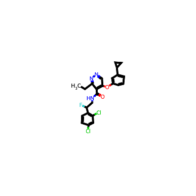 CCc1nncc(Oc2cccc(C3CC3)c2)c1C(=O)NCC(F)c1ccc(Cl)cc1Cl